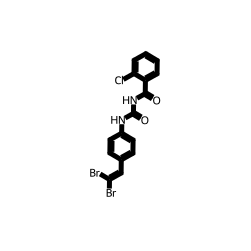 O=C(NC(=O)c1ccccc1Cl)Nc1ccc(C=C(Br)Br)cc1